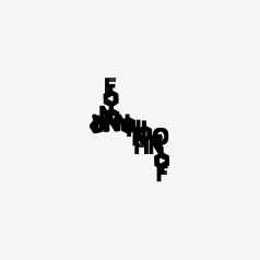 Cc1cc(C(=O)NCc2ccc(F)cc2)cnc1N1CCN(c2cc(-c3ccc(F)cc3)nc(N3CCCC3C)n2)CC1